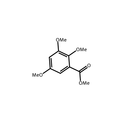 COC(=O)c1cc(OC)cc(OC)c1OC